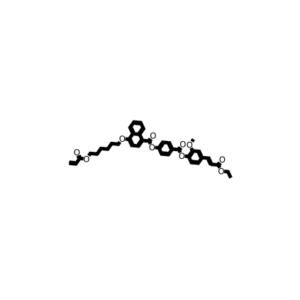 C=CC(=O)OCCCCCCOc1ccc(C(=O)Oc2ccc(C(=O)Oc3ccc(/C=C/C(=O)OCC)cc3OC)cc2)c2ccccc12